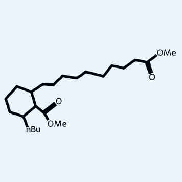 CCCCC1CCCC(CCCCCCCCCC(=O)OC)C1C(=O)OC